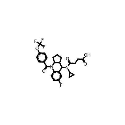 O=C(O)CCC(=O)N(C1CC1)C1c2cc(F)ccc2N(C(=O)c2ccc(OC(F)(F)F)cc2)C2CCCC21